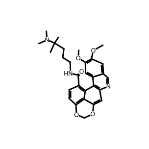 COc1cc2cnc3cc4c5c(ccc(C(=O)NCCCC(C)(C)N(C)C)c5c3c2cc1OC)OCO4